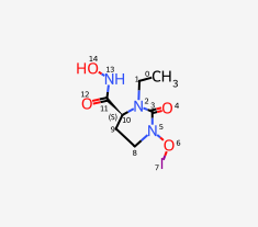 CCN1C(=O)N(OI)CC[C@H]1C(=O)NO